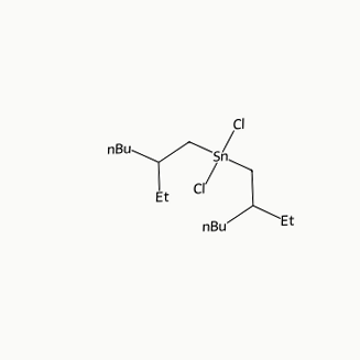 CCCCC(CC)[CH2][Sn]([Cl])([Cl])[CH2]C(CC)CCCC